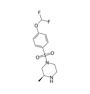 C[C@H]1CN(S(=O)(=O)c2ccc(OC(F)F)cc2)CCN1